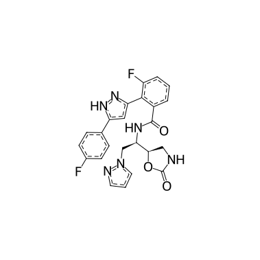 O=C1NC[C@H]([C@@H](Cn2cccn2)NC(=O)c2cccc(F)c2-c2cc(-c3ccc(F)cc3)[nH]n2)O1